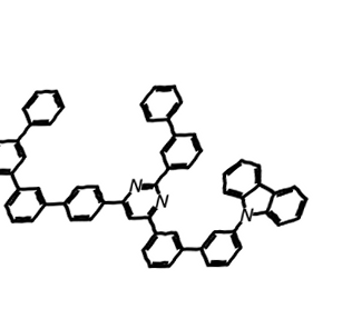 c1ccc(-c2cccc(-c3cccc(-c4ccc(-c5cc(-c6cccc(-c7cccc(-n8c9ccccc9c9ccccc98)c7)c6)nc(-c6cccc(-c7ccccc7)c6)n5)cc4)c3)c2)cc1